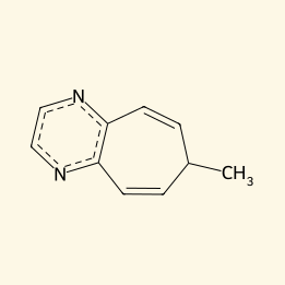 CC1C=Cc2nccnc2C=C1